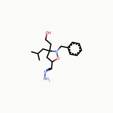 CC(C)CC1(CCO)CC(C=NN)ON1Cc1ccccc1